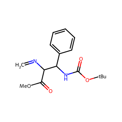 C=NC(C(=O)OC)C(NC(=O)OC(C)(C)C)c1ccccc1